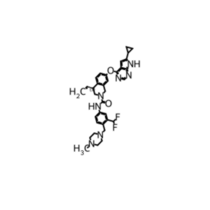 C=C[C@@H]1CN(C(=O)Nc2ccc(CN3CCN(C)CC3)c(C(F)F)c2)Cc2cc(Oc3ncnc4[nH]c(C5CC5)cc34)ccc21